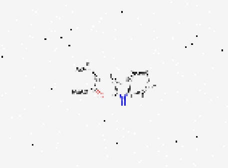 COC(=O)[C@H](Cc1c[nH]c2ccccc12)NC(C)=O